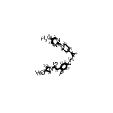 Cc1cnc(N2CCC([C@H]3C[C@H]3CCOc3ccc(CC(=O)N4CC(O)C4)c(F)c3)CC2)nc1